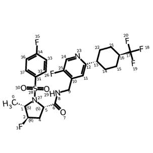 C[C@H]1[C@H](F)C[C@@H](C(=O)NCc2cc([C@H]3CC[C@H](C(F)(F)F)CC3)ncc2F)N1S(=O)(=O)c1ccc(F)cc1